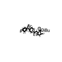 CCC(CC1CCC(C)N1C(=O)OCC(C)C)N1CCC(N(C(C)=O)c2ccc(F)cc2)CC1